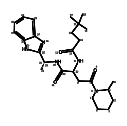 CC1CCCCN1C(=O)CC(NC(=O)CCC(C)(C)C)C(=O)N[C@H](C)c1nc2ccccc2[nH]1